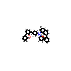 c1ccc(N(c2ccc(-c3cccc4c3oc3ccccc34)cc2)c2cccc3ccc4c5ccccc5sc4c23)cc1